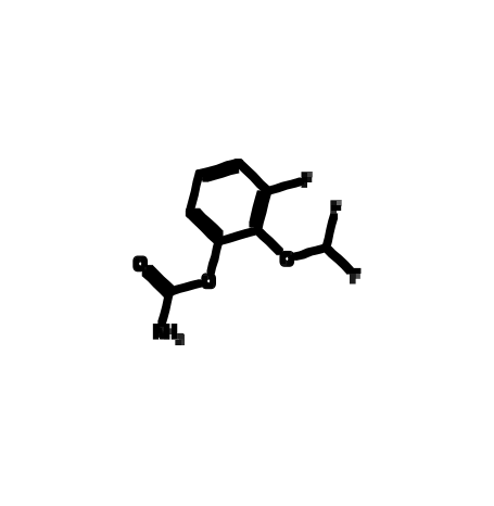 NC(=O)Oc1cccc(F)c1OC(F)F